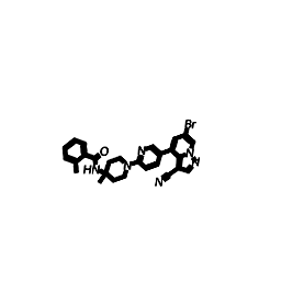 Cc1ccccc1C(=O)NC1(C)CCN(c2ccc(-c3cc(Br)cn4ncc(C#N)c34)cn2)CC1